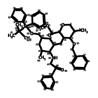 COC(=O)C1OCC(C)C(OCc2ccccc2)C1CC1CC(CO[Si](c2ccccc2)(c2ccccc2)C(C)(C)C)CC(C)C1NCC(=O)c1ccccc1